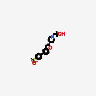 C[S@@+]([O-])c1ccc(-c2ccc3c(c2)C[C@H](C2CCN(CC(C)(C)O)CC2)O3)cc1